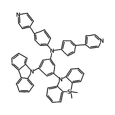 C[Si]1(C)c2ccccc2N(c2cc(N(c3ccc(-c4ccncc4)cc3)c3ccc(-c4ccncc4)cc3)cc(-n3c4ccccc4c4ccccc43)c2)c2ccccc21